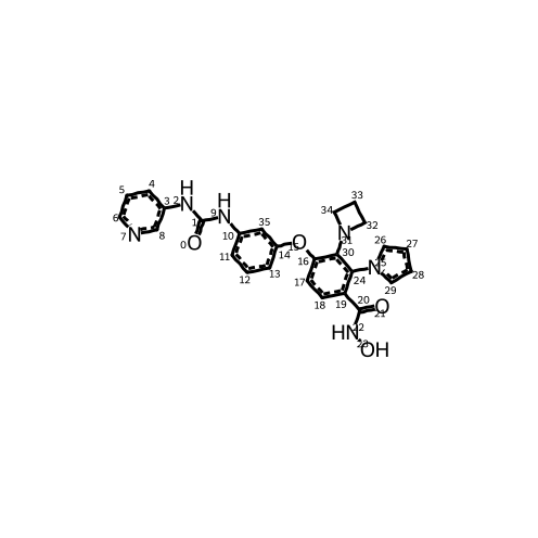 O=C(Nc1cccnc1)Nc1cccc(Oc2ccc(C(=O)NO)c(-n3cccc3)c2N2CCC2)c1